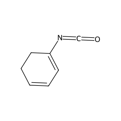 O=C=NC1=CC=CCC1